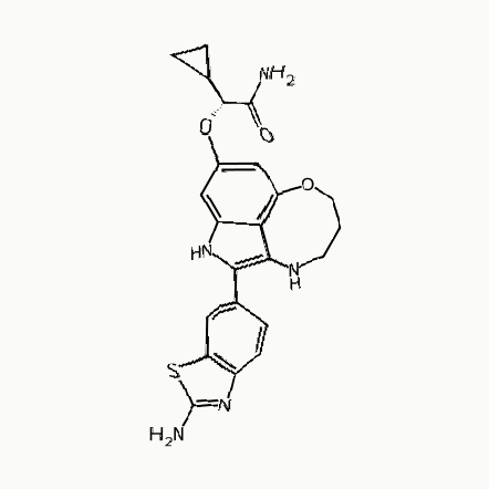 NC(=O)[C@H](Oc1cc2c3c(c(-c4ccc5nc(N)sc5c4)[nH]c3c1)NCCCO2)C1CC1